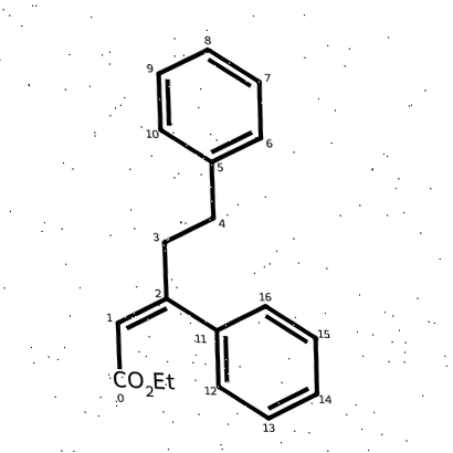 CCOC(=O)/C=C(/CCc1ccccc1)c1ccccc1